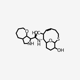 CC1/C=C\CCSC2OC(CCC2O)[C@@H]1NC(=O)C1NCC2CCCCOC21